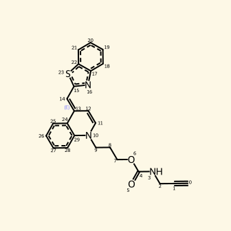 C#CCNC(=O)OCCCN1C=C/C(=C\c2nc3ccccc3s2)c2ccccc21